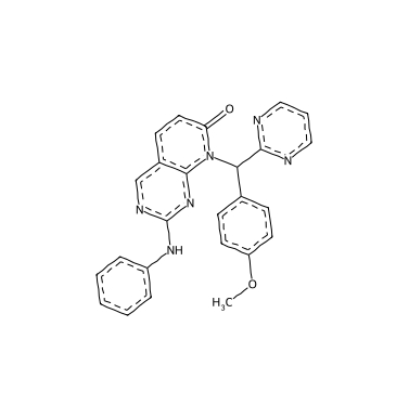 COc1ccc(C(c2ncccn2)n2c(=O)ccc3cnc(Nc4ccccc4)nc32)cc1